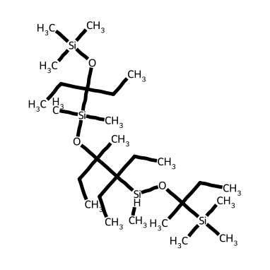 CCC(C)(O[Si](C)(C)C(CC)(CC)O[Si](C)(C)C)C(CC)(CC)[SiH](C)OC(C)(CC)[Si](C)(C)C